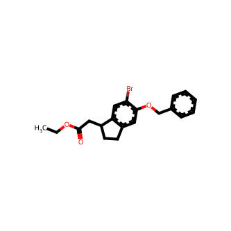 CCOC(=O)CC1CCc2cc(OCc3ccccc3)c(Br)cc21